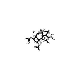 CC(=O)OC1CC(OC(C)=O)[C@@]2(C)C(OC(C)=O)[C@@H]3C(CN(C)C)C(=O)O[C@H]3C[C@@H](C)[C@H]12